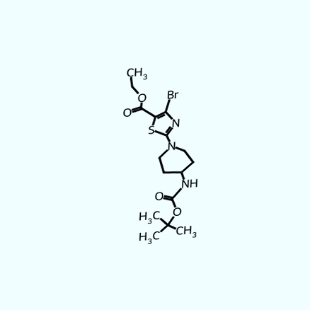 CCOC(=O)c1sc(N2CCC(NC(=O)OC(C)(C)C)CC2)nc1Br